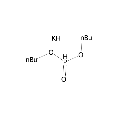 CCCCO[PH](=O)OCCCC.[KH]